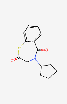 O=C1CN(C2CCCC2)C(=O)c2ccccc2S1